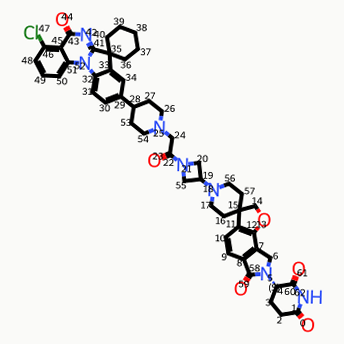 O=C1CC[C@H](N2Cc3c(ccc4c3OCC43CCN(C4CN(C(=O)CN5CCC(c6ccc7c(c6)C6(CCCCC6)c6nc(=O)c8c(Cl)cccc8n6-7)CC5)C4)CC3)C2=O)C(=O)N1